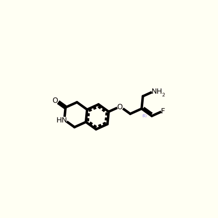 NC/C(=C\F)COc1ccc2c(c1)CC(=O)NC2